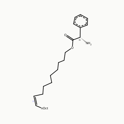 CCCCCCCC/C=C\CCCCCCCCOC(=O)[C@@H](N)c1ccccc1